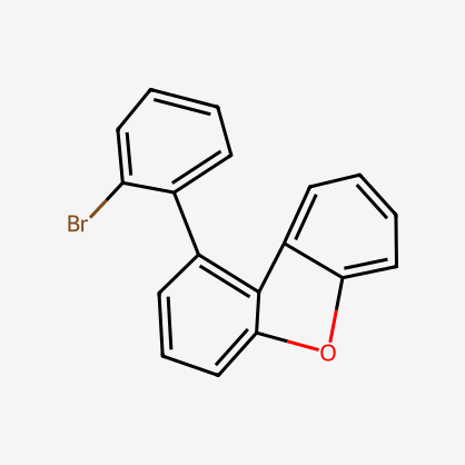 Brc1ccccc1-c1cccc2oc3ccccc3c12